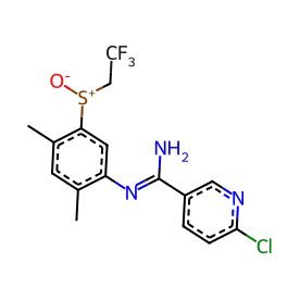 Cc1cc(C)c([S+]([O-])CC(F)(F)F)cc1/N=C(\N)c1ccc(Cl)nc1